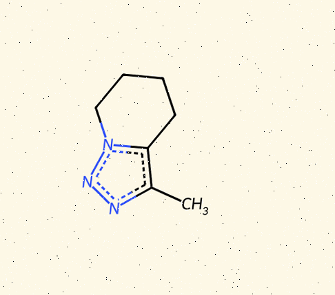 Cc1nnn2c1CCCC2